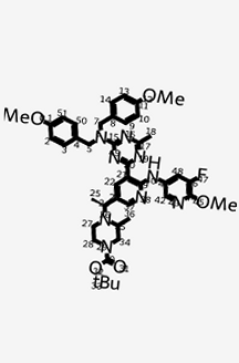 COc1ccc(CN(Cc2ccc(OC)cc2)c2nc(C)nc(-c3cc([C@H](C)N4CCN(C(=O)OC(C)(C)C)CC4C)cnc3Nc3cnc(OC)c(F)c3)n2)cc1